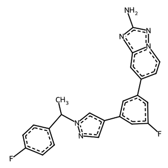 CC(c1ccc(F)cc1)n1cc(-c2cc(F)cc(-c3ccn4nc(N)nc4c3)c2)cn1